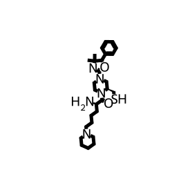 CC1(C)N=C(N2CCN(C(=O)[C@H](N)CCCCN3CCCCC3)[C@H](CS)C2)OC1c1ccccc1